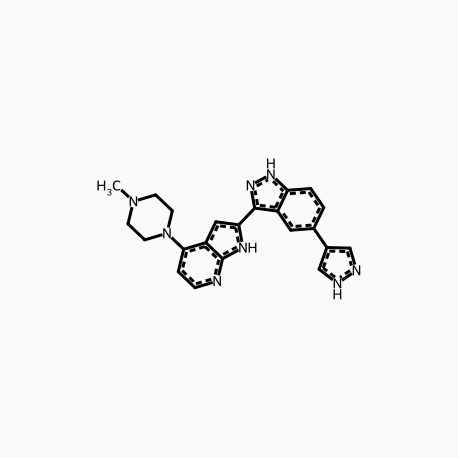 CN1CCN(c2ccnc3[nH]c(-c4n[nH]c5ccc(-c6cn[nH]c6)cc45)cc23)CC1